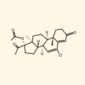 CC(=O)O[C@@]1(C(C)=O)CC[C@H]2[C@@H]3C=C(Cl)C4=CC(=O)CC[C@@]4(C)[C@@H]3CC[C@@]21C